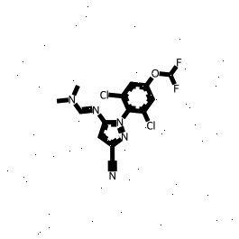 CN(C)C=Nc1cc(C#N)nn1-c1c(Cl)cc(OC(F)F)cc1Cl